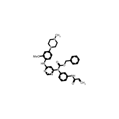 C=CC(=O)Nc1cccc(N(C(=O)OCc2ccccc2)c2cc(Nc3ccc(N4CCN(C)CC4)cc3OC)ncn2)c1